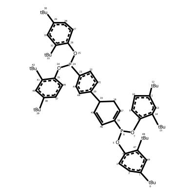 CC(C)(C)c1ccc(OP(Oc2ccc(C(C)(C)C)cc2C(C)(C)C)C2=CCC(c3ccc(P(Oc4ccc(C(C)(C)C)cc4C(C)(C)C)Oc4ccc(C(C)(C)C)cc4C(C)(C)C)cc3)C=C2)c(C(C)(C)C)c1